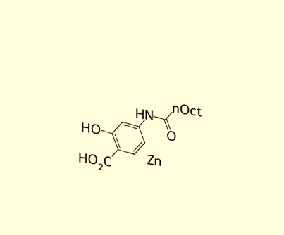 CCCCCCCCC(=O)Nc1ccc(C(=O)O)c(O)c1.[Zn]